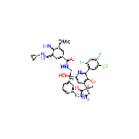 COC1=CC(C(=O)NC[C@@](O)(c2cccc(OC)c2)c2cc3c(c(-c4cc(Cl)c(F)cc4F)n2)OC[C@]3(C)C(N)=O)=C/C(=C/NC2CC2)C1=N